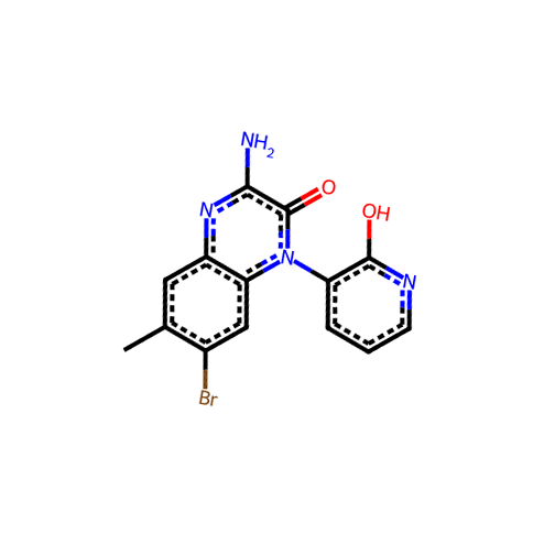 Cc1cc2nc(N)c(=O)n(-c3cccnc3O)c2cc1Br